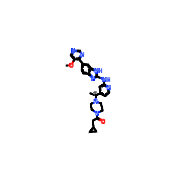 COc1cncnc1-c1ccc2nc(Nc3cc([C@H](C)N4CCN(C(=O)CC5CC5)CC4)ccn3)[nH]c2c1